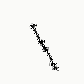 O=C(O)CCOCCOCCOCCOCCNC(=O)COc1ccc2cc(C(=O)NCCCOCCOCCOCCCNC(=O)CCN3C(=O)C=CC3=O)c(=O)oc2c1